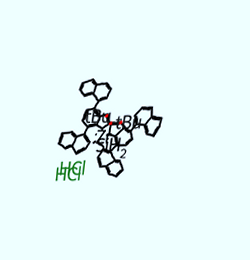 CC(C)(C)C1=Cc2c(-c3cccc4ccccc34)ccc(-c3cccc4ccccc34)c2[CH]1[Zr]([CH3])([CH3])(=[SiH2])[CH]1C(C(C)(C)C)=Cc2c(-c3cccc4ccccc34)ccc(-c3cccc4ccccc34)c21.Cl.Cl